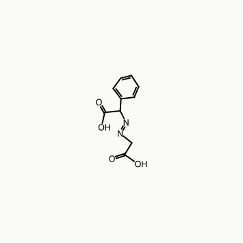 O=C(O)CN=NC(C(=O)O)c1ccccc1